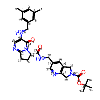 Cc1cc(C)cc(CNc2cnc3n(c2=O)[C@H](C(=O)NCc2cnc4c(c2)CN(C(=O)OC(C)(C)C)C4)CC3)c1